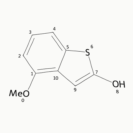 COc1cccc2sc(O)cc12